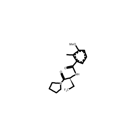 COc1cccc(C(=O)N[C@@H](CC(F)(F)F)C(=O)N2CCCC2)c1C